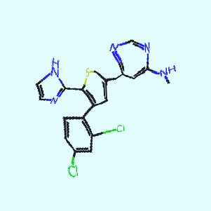 CNc1cc(-c2cc(-c3ccc(Cl)cc3Cl)c(-c3ncc[nH]3)s2)ncn1